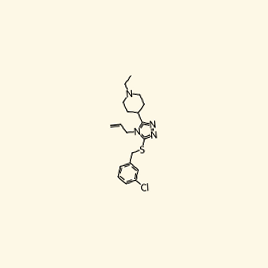 C=CCn1c(SCc2cccc(Cl)c2)nnc1C1CCN(CC)CC1